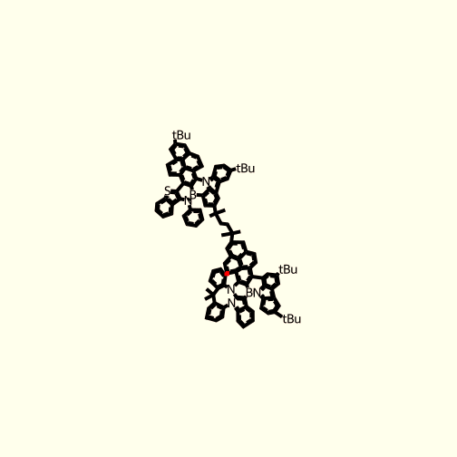 CC(C)(C)c1cc2ccc3c4c5c(c6ccc(c1)c2c36)-n1c2ccc(C(C)(C)C)cc2c2cc(C(C)(C)CCC(C)(C)c3cc6ccc7c8c9c(c%10ccc(c3)c6c7%10)N3c6ccccc6C(C)(C)c6ccccc6-n6c3c(c3ccccc36)B9n3c6ccc(C(C)(C)C)cc6c6cc(C(C)(C)C)cc-8c63)cc(c21)B5N(c1ccccc1)c1c-4sc2ccccc12